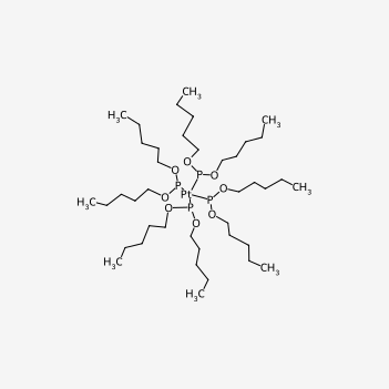 CCCCCO[P](OCCCCC)[Pt]([P](OCCCCC)OCCCCC)([P](OCCCCC)OCCCCC)[P](OCCCCC)OCCCCC